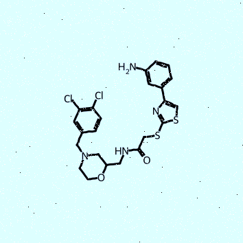 Nc1cccc(-c2csc(SCC(=O)NCC3CN(Cc4ccc(Cl)c(Cl)c4)CCO3)n2)c1